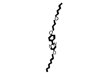 CCCCCC=CCOc1cnc(-c2ccc(OCCCCOCCCCCC)cc2)nc1